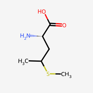 CSC(C)C[C@H](N)C(=O)O